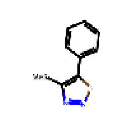 CSc1nnsc1-c1ccccc1